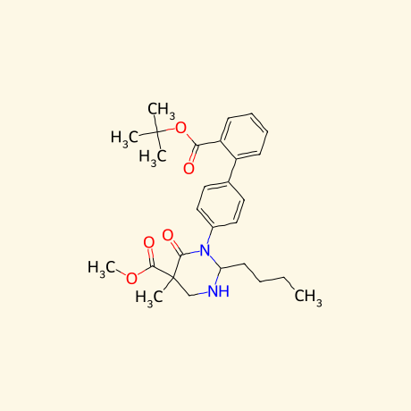 CCCCC1NCC(C)(C(=O)OC)C(=O)N1c1ccc(-c2ccccc2C(=O)OC(C)(C)C)cc1